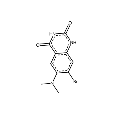 CN(C)c1cc2c(=O)[nH]c(=O)[nH]c2cc1Br